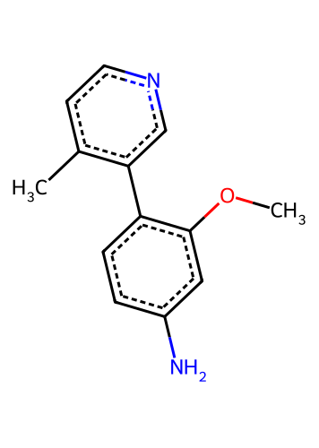 COc1cc(N)ccc1-c1cnccc1C